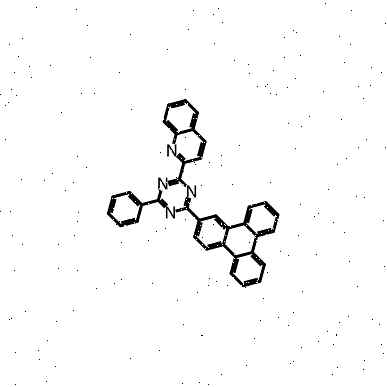 c1ccc(-c2nc(-c3ccc4c5ccccc5c5ccccc5c4c3)nc(-c3ccc4ccccc4n3)n2)cc1